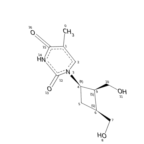 Cc1cn([C@@H]2C[C@H](CO)[C@@H]2CO)c(=O)[nH]c1=O